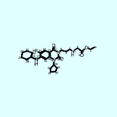 CCOC(=O)CNCCCn1c(=O)c2cc(F)c(NC3CCCCC3)cc2n(C2CCCC2)c1=O